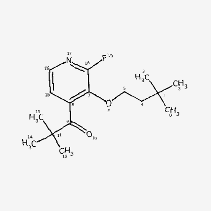 CC(C)(C)CCOc1c(C(=O)C(C)(C)C)ccnc1F